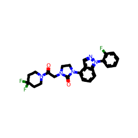 O=C(CN1CCN(c2cccc3c2cnn3-c2ccccc2F)C1=O)N1CCC(F)(F)CC1